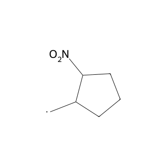 [CH2]C1CCCC1[N+](=O)[O-]